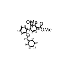 COC(=O)c1ccc(-c2ccccc2OCC2CCCCC2)nc1OC